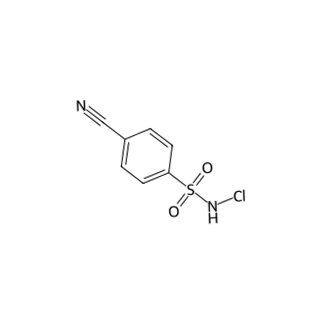 N#Cc1ccc(S(=O)(=O)NCl)cc1